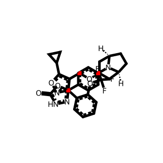 O=c1[nH]nc(-c2ccc(N3[C@@H]4CC[C@H]3C[C@@H](OCc3c(-c5ccccc5OC(F)(F)F)noc3C3CC3)C4)cc2)o1